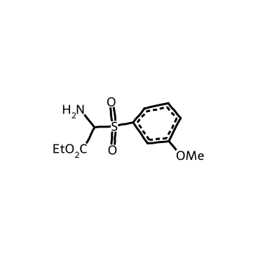 CCOC(=O)C(N)S(=O)(=O)c1cccc(OC)c1